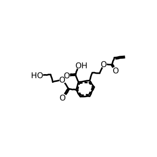 C=CC(=O)OCCc1cccc(C(=O)OCCO)c1C(=O)O